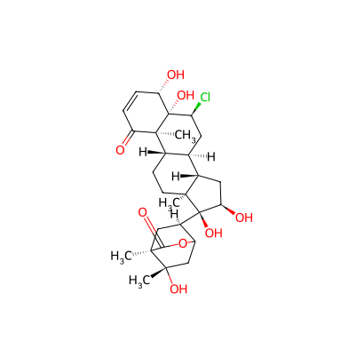 C[C@]1(O)CC2OC(=O)[C@]1(C)C[C@H]2[C@@]1(O)[C@H](O)C[C@H]2[C@@H]3C[C@H](Cl)[C@]4(O)[C@@H](O)C=CC(=O)[C@]4(C)[C@H]3CC[C@@]21C